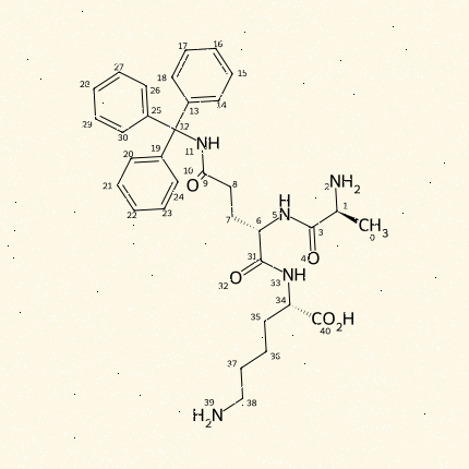 C[C@H](N)C(=O)N[C@@H](CCC(=O)NC(c1ccccc1)(c1ccccc1)c1ccccc1)C(=O)N[C@@H](CCCCN)C(=O)O